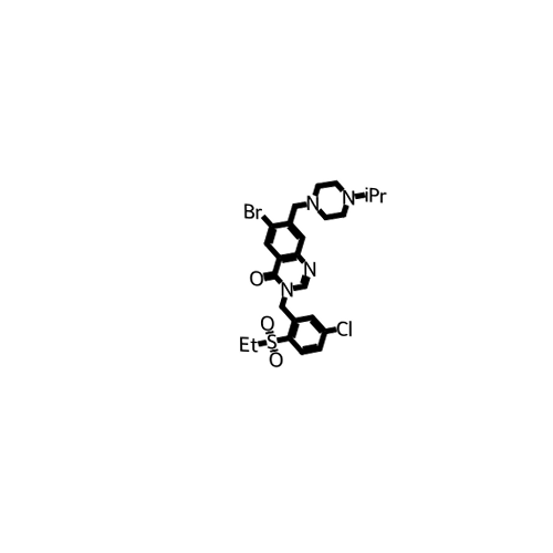 CCS(=O)(=O)c1ccc(Cl)cc1Cn1cnc2cc(CN3CCN(C(C)C)CC3)c(Br)cc2c1=O